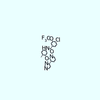 Cc1ccc(NC(=O)c2ccc(Cl)c(OC(F)(F)F)c2)cc1Oc1ncccc1-c1ccncn1